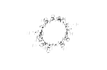 CCCC[C@H]1C(=O)N(C)CC(=O)N[C@@H](CC(=O)O)C(=O)N[C@@H](C(C)C)C(=O)N(C)[C@@H](Cc2ccccc2)C(=O)N[C@@H](Cc2ccc(O)cc2)C(=O)N(C)CC(=O)N[C@@H](Cc2c[nH]c3ccccc23)C(=O)N[C@@H](Cc2ccc(O)cc2)C(=O)N[C@@H](CC(C)C)C(=O)N[C@H](C(=O)NCC(N)=O)C[S+]([O-])CC(=O)N[C@@H](Cc2ccccc2)C(=O)N(C)[C@@H](Cc2ccccc2)C(=O)N1C